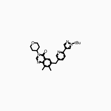 Cc1c(Cc2ccc(-c3cnn(C(C)(C)C)c3)nc2)cc2c(=O)n(C3CCOCC3)cnc2c1C